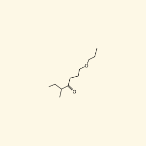 CCCOCCCC(=O)C(C)CC